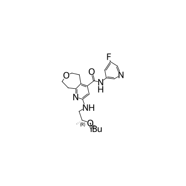 CC[C@H](C)O[C@H](C)CNc1cc(C(=O)Nc2cncc(F)c2)c2c(n1)CCOCC2